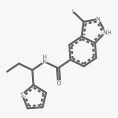 CCC(NC(=O)c1ccc2[nH]nc(I)c2c1)c1cccs1